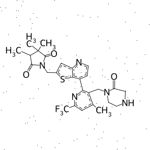 Cc1cc(C(F)(F)F)nc(-c2ccnc3cc(CN4C(=O)C(C)C(C)(C)C4=O)sc23)c1CN1CCNCC1=O